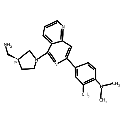 Cc1cc(-c2cc3ncccc3c(N3CC[C@@H](CN)C3)n2)ccc1N(C)C